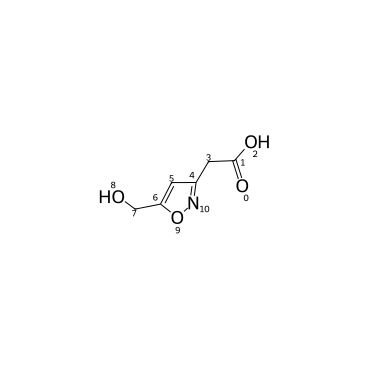 O=C(O)Cc1cc(CO)on1